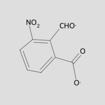 [O]C(=O)c1cccc([N+](=O)[O-])c1[C]=O